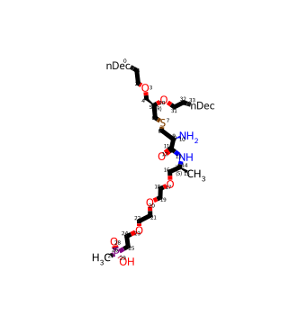 CCCCCCCCCCCCOC[C@H](CSC[C@H](N)C(=O)N[C@@H](C)COCCOCCOCCP(C)(=O)O)OCCCCCCCCCCCC